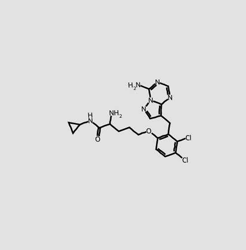 Nc1ncnc2c(Cc3c(OCCCC(N)C(=O)NC4CC4)ccc(Cl)c3Cl)cnn12